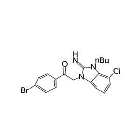 CCCCn1c(=N)n(CC(=O)c2ccc(Br)cc2)c2cccc(Cl)c21